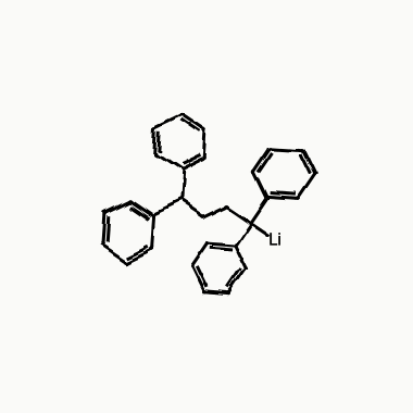 [Li][C](CCC(c1ccccc1)c1ccccc1)(c1ccccc1)c1ccccc1